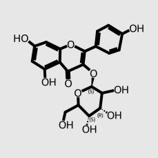 O=c1c(O[C@@H]2OC(CO)[C@@H](O)[C@@H](O)C2O)c(-c2ccc(O)cc2)oc2cc(O)cc(O)c12